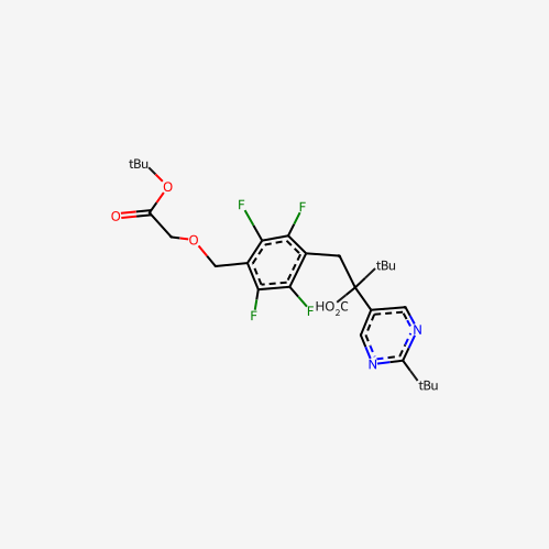 CC(C)(C)OC(=O)COCc1c(F)c(F)c(CC(C(=O)O)(c2cnc(C(C)(C)C)nc2)C(C)(C)C)c(F)c1F